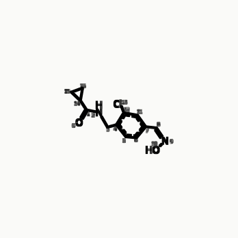 O=C(NCc1ccc(/C=N\O)cc1Cl)C1CC1